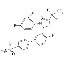 CS(=O)(=O)c1ccc(-c2ccc(F)c(C3CC(C(F)(F)C(F)(F)F)=NN3c3ccc(F)cc3F)c2)cc1